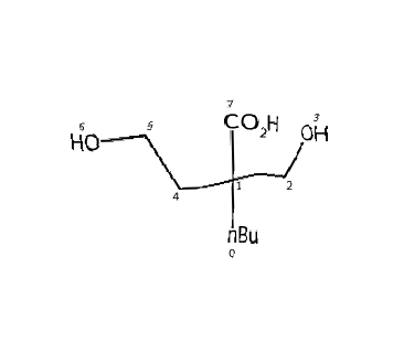 CCCCC(CO)(CCO)C(=O)O